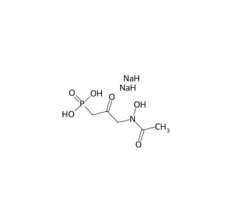 CC(=O)N(O)CC(=O)CP(=O)(O)O.[NaH].[NaH]